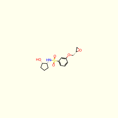 O=S(=O)(N[C@@H]1CCC[C@@H]1O)c1cccc(OC[C@@H]2CO2)c1